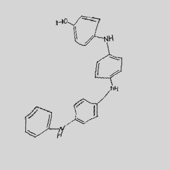 Oc1ccc(Nc2ccc(Nc3ccc(Nc4ccccc4)cc3)cc2)cc1